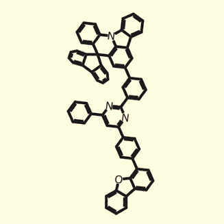 c1ccc(-c2cc(-c3ccc(-c4cccc5c4oc4ccccc45)cc3)nc(-c3cccc(-c4cc5c6c(c4)c4ccccc4n6-c4ccccc4C54c5ccccc5-c5ccccc54)c3)n2)cc1